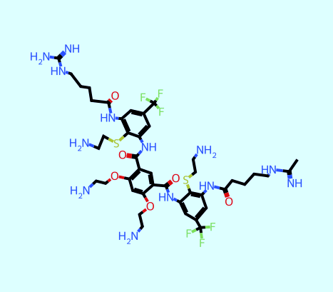 CC(=N)NCCCCC(=O)Nc1cc(C(F)(F)F)cc(NC(=O)c2cc(C(=O)Nc3cc(C(F)(F)F)cc(NC(=O)CCCCNC(=N)N)c3SCCN)c(OCCN)cc2OCCN)c1SCCN